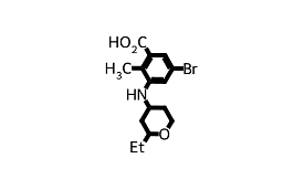 CCC1CC(Nc2cc(Br)cc(C(=O)O)c2C)CCO1